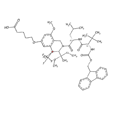 COc1cc(OCCCCC(=O)O)cc(OC)c1CN(C(=O)[C@H](CC(C)C)NC(=O)[C@@H](NC(=O)OCC1c2ccccc2-c2ccccc21)C(C)(C)C)C(CC(F)(F)F)C(C)(OC)OC